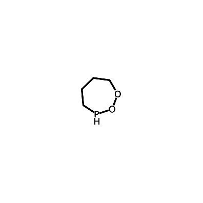 C1CCPOOC1